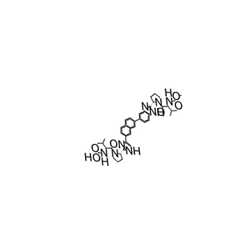 COC(=O)NC(C(=O)N1CCC[C@H]1c1nc2cc(-c3ccc4ccc(-c5c[nH]c([C@@H]6CCCN6C(=O)C(NC(=O)O)C(C)C)n5)cc4c3)ccc2[nH]1)C(C)C